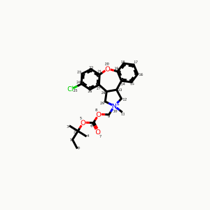 CCC(C)(C)OC(=O)OC[N+]1(C)CC2c3ccccc3Oc3ccc(Cl)cc3C2C1